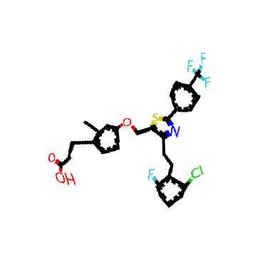 Cc1cc(OCc2sc(-c3ccc(C(F)(F)F)cc3)nc2CCc2c(F)cccc2Cl)ccc1CCC(=O)O